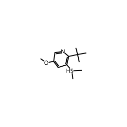 COc1cnc(C(C)(C)C)c([SH](C)C)c1